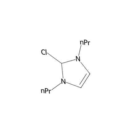 CCCN1C=CN(CCC)C1Cl